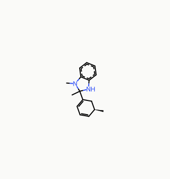 C[C@H]1C=CC=C(C2(C)Nc3ccccc3N2C)C1